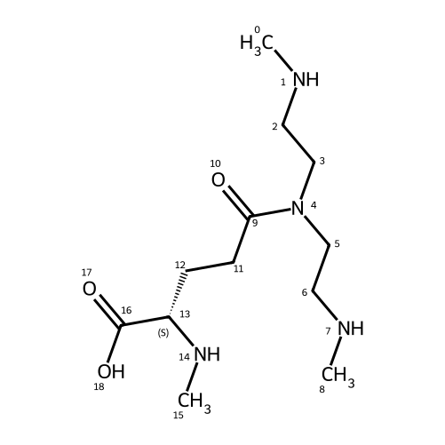 CNCCN(CCNC)C(=O)CC[C@H](NC)C(=O)O